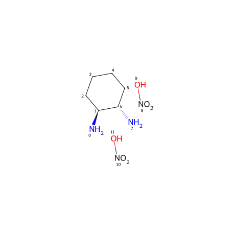 N[C@H]1CCCC[C@@H]1N.O=[N+]([O-])O.O=[N+]([O-])O